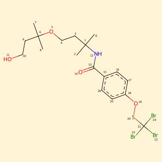 CC(C)(CCOC(C)(C)CCO)NC(=O)c1ccc(OSC(Br)(Br)Br)cc1